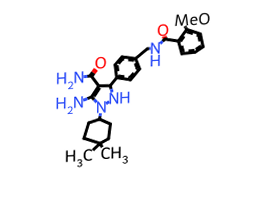 COc1ccccc1C(=O)NCc1ccc(C2NN(C3CCC(C)(C)CC3)C(N)=C2C(N)=O)cc1